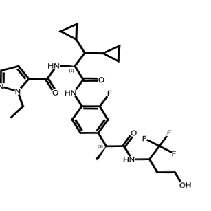 CCn1nccc1C(=O)N[C@H](C(=O)Nc1ccc([C@H](C)C(=O)NC(CCO)C(F)(F)F)cc1F)C(C1CC1)C1CC1